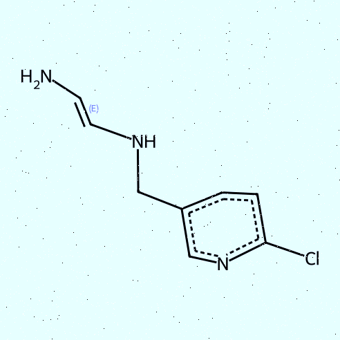 N/C=C/NCc1ccc(Cl)nc1